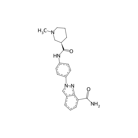 CN1CCC[C@@H](C(=O)Nc2ccc(-n3cc4cccc(C(N)=O)c4n3)cc2)C1